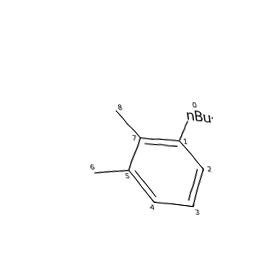 [CH2]CC[CH]c1cccc(C)c1C